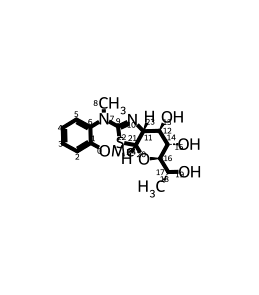 COc1ccccc1N(C)C1=N[C@@H]2[C@@H](O)[C@H](O)[C@@H]([C@@H](C)O)O[C@@H]2S1